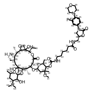 CC[C@H]1OC(=O)[C@H](C)[C@@H](OC2CC(C)(OC)C(OC(=O)NCCCCCC(=O)NC[C@H]3CN(c4ccc(N5CCOCC5)c(F)c4)C(=O)O3)C(C)O2)[C@H](C)[C@@H](OC2OC(C)CC(N(C)C)C2O)[C@](C)(O)C[C@@H](C)[C@H](N)[C@H](C)[C@@H](O)[C@]1(C)O